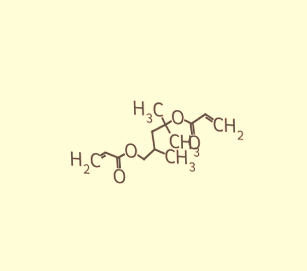 C=CC(=O)OCC(C)CC(C)(C)OC(=O)C=C